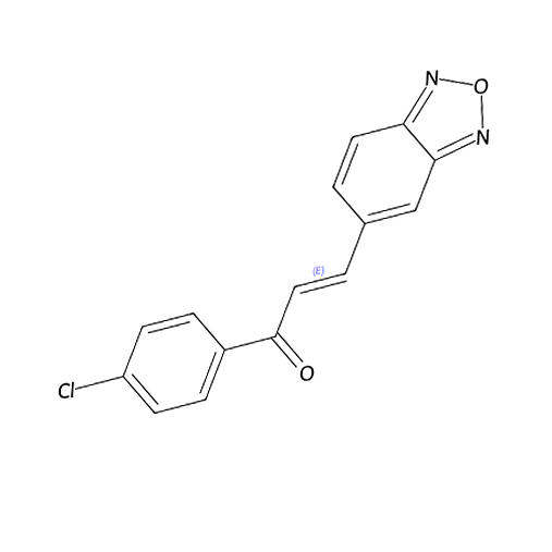 O=C(/C=C/c1ccc2nonc2c1)c1ccc(Cl)cc1